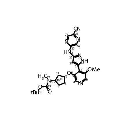 COc1cncc(O[C@@H]2CC[C@@H](N(C)C(=O)OC(C)(C)C)C2)c1-c1cc(Nc2cnc(C#N)cn2)n[nH]1